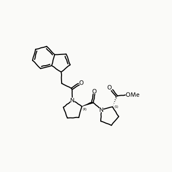 COC(=O)[C@@H]1CCCN1C(=O)[C@H]1CCCN1C(=O)CC1C=Cc2ccccc21